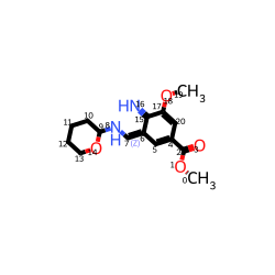 COC(=O)C1=C/C(=C/NC2CCCCO2)C(=N)C(OC)=C1